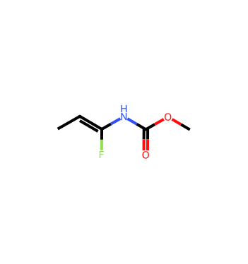 CC=C(F)NC(=O)OC